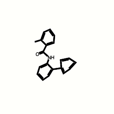 Cc1ccccc1C(=O)Nc1ccccc1-c1ccccc1